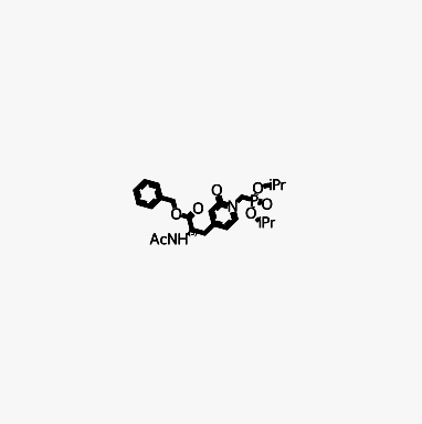 CC(=O)N[C@@H](Cc1ccn(CP(=O)(OC(C)C)OC(C)C)c(=O)c1)C(=O)OCc1ccccc1